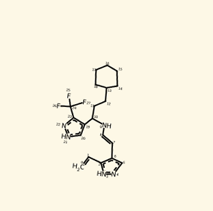 C=Cc1[nH]ncc1/C=C/NC(CCC1CCCCC1)c1c[nH]nc1C(F)(F)F